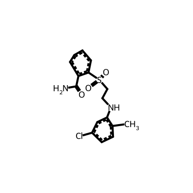 Cc1ccc(Cl)cc1NCCS(=O)(=O)c1ccccc1C(N)=O